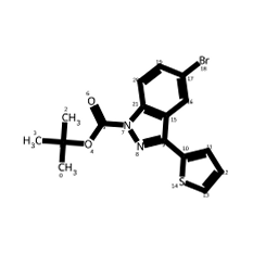 CC(C)(C)OC(=O)n1nc(-c2cccs2)c2cc(Br)ccc21